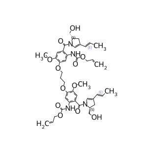 C=CCOC(=O)Nc1cc(OCCCOc2cc(NC(=O)OCC=C)c(C(=O)N3C=C(/C=C/C)C[C@H]3CO)cc2OC)c(OC)cc1C(=O)N1C=C(/C=C/C)C[C@H]1CO